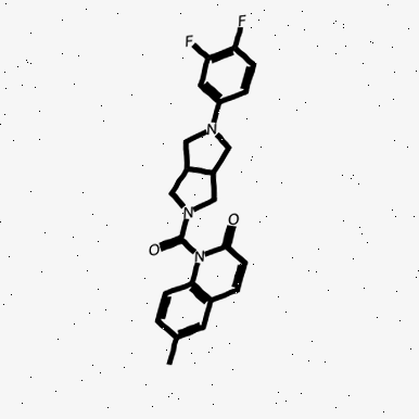 Cc1ccc2c(ccc(=O)n2C(=O)N2CC3CN(c4ccc(F)c(F)c4)CC3C2)c1